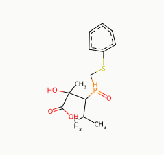 CC(C)C([PH](=O)CSc1ccccc1)C(C)(O)C(=O)O